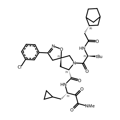 CNC(=O)C(=O)[C@H](CC1CC1)NC(=O)[C@@H]1C[C@]2(CC(c3cccc(Cl)c3)=NO2)CN1C(=O)[C@@H](NC(=O)C[C@H]1CC2CCC1C2)C(C)(C)C